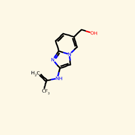 C=C(Nc1cn2cc(CO)ccc2n1)C(F)(F)F